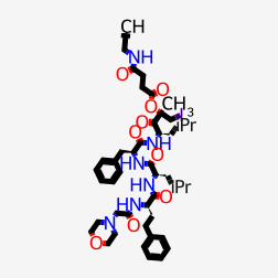 C#CCNC(=O)CCC(=O)O[C@](C)(CI)C(=O)[C@H](CC(C)C)NC(=O)[C@H](Cc1ccccc1)NC(=O)[C@H](CC(C)C)NC(=O)[C@H](CCc1ccccc1)NC(=O)CN1CCOCC1